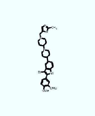 CCc1c(-c2ccc(OC)c(OC)c2)[nH]c2ccc(C3CCN(C4CCN(Cc5cnc(C)o5)CC4)CC3)cc12